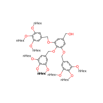 CCCCCCOc1cc(COc2cc(CO)cc(OCc3cc(OCCCCCC)c(OCCCCCC)c(OCCCCCC)c3)c2OCc2cc(OCCCCCC)c(OCCCCCC)c(OCCCCCC)c2)cc(OCCCCCC)c1OCCCCCC